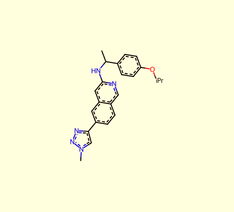 CC(C)Oc1ccc(C(C)Nc2cc3cc(-c4cn(C)nn4)ccc3cn2)cc1